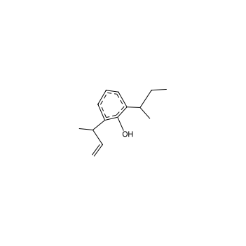 C=CC(C)c1cccc(C(C)CC)c1O